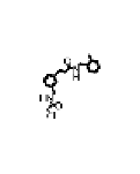 Cc1ccccc1CNC(=O)/C=C/c1cccc(CNC(=O)CCl)c1